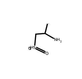 [CH2]C(N)C[SH](=O)=O